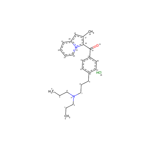 CCCN(CCC)CCCc1ccc(C(=O)c2c(C)cc3ccccn23)cc1.Cl